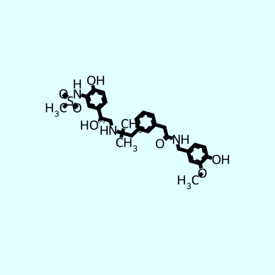 COc1cc(CNC(=O)Cc2cccc(CC(C)(C)NC[C@H](O)c3ccc(O)c(NS(C)(=O)=O)c3)c2)ccc1O